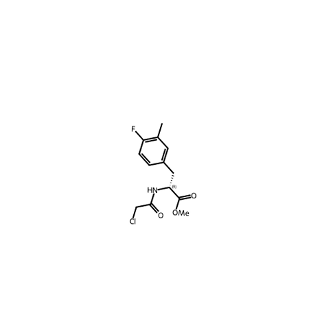 COC(=O)[C@@H](Cc1ccc(F)c(C)c1)NC(=O)CCl